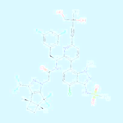 Cn1nc(NS(C)(=O)=O)c2c(Cl)ccc(-c3ccc(C#CC(C)(O)CO)nc3[C@H](Cc3cc(F)cc(F)c3)NC(=O)Cn3nc(C(F)F)c4c3C(F)(F)[C@@H]3CC[C@H]43)c21